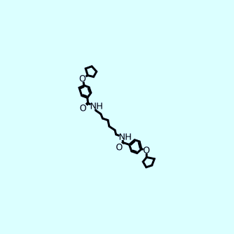 O=C(NCCCCCCCNC(=O)c1ccc(OC2CCCC2)cc1)c1ccc(OC2CCCC2)cc1